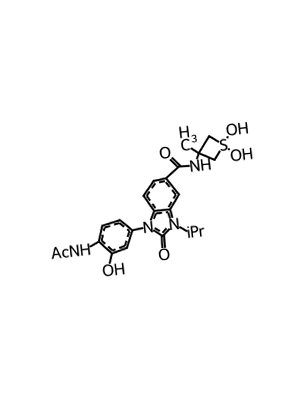 CC(=O)Nc1ccc(-n2c(=O)n(C(C)C)c3cc(C(=O)NC4(C)CS(O)(O)C4)ccc32)cc1O